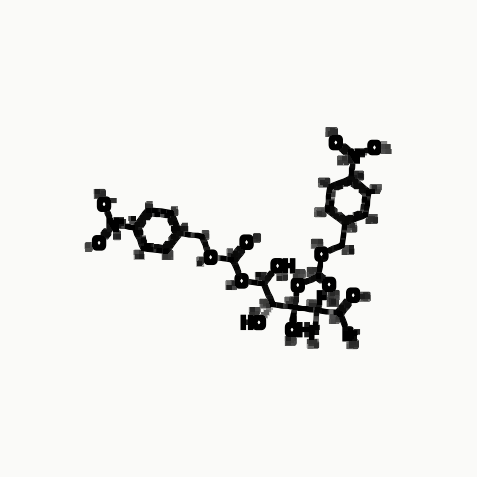 O=C(OCc1ccc([N+](=O)[O-])cc1)OC(O)[C@@H](O)[C@](O)(OC(=O)OCc1ccc([N+](=O)[O-])cc1)C(F)(F)C(=O)Br